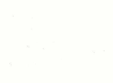 O=C(/C=C/c1ccc2c(c1)C(=O)N(Cc1ccccc1)C1(CCNCC1)O2)NO